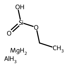 CCO[Si](=O)O.[AlH3].[MgH2]